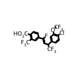 O=C(O)c1ccc(C(F)=CC(c2ccc(Cl)c(OC(F)(F)F)c2)C(F)(F)F)cc1C(F)(F)F